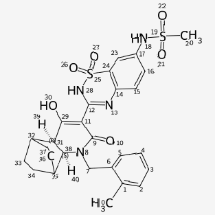 Cc1ccccc1CN1C(=O)C(C2=Nc3ccc(NS(C)(=O)=O)cc3S(=O)(=O)N2)=C(O)[C@@H]2C3CCC(CC3)[C@@H]21